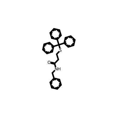 O=C(CCSC(c1ccccc1)(c1ccccc1)c1ccccc1)NCc1ccccc1